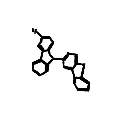 Cc1ccc2c(c1)c1ccccc1n2-c1cc2c(cn1)sc1ccccc12